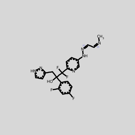 C/N=C\C=N/Nc1ccc(C(F)(F)C(O)(Cc2cc[nH]n2)c2ccc(F)cc2F)nc1